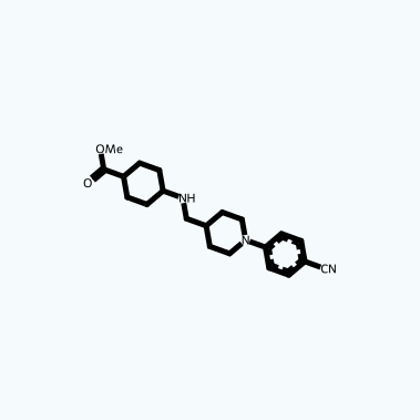 COC(=O)C1CCC(NCC2CCN(c3ccc(C#N)cc3)CC2)CC1